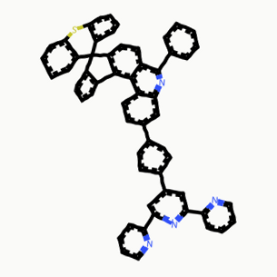 c1ccc(-c2nc3cc(-c4ccc(-c5cc(-c6ccccn6)nc(-c6ccccn6)c5)cc4)ccc3c3c4c(ccc23)C2(c3ccccc3Sc3ccccc32)c2ccccc2-4)cc1